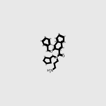 NCCCN(CC1CCCC1)C(=O)c1cc2ccccc2cc1OCc1ccccc1